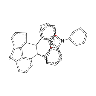 c1ccc(-n2c3cccc4c3c3c(cccc32)C23c5cccc6sc7cccc(c7c56)C42c2cccc4sc5cccc3c5c24)cc1